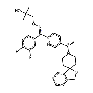 C[C@H](c1ccc(/C(=N/OCC(C)(C)O)c2ccc(F)c(F)c2)nc1)N1CCC2(CC1)OCc1ccncc12